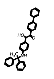 CC(Nc1ccc(C(O)C(=O)c2ccc(-c3ccccc3)cc2)cc1)(c1ccccc1)c1ccccc1